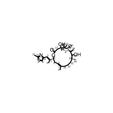 C/C1=C\C[C@@H](/C(C)=C/c2csc(C)n2)OC(=O)CC(O)C(C)(C)[SH2+]([O-])C(C)C(O)[C@@H](C)CCC1